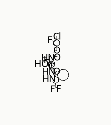 O=C(COc1ccc(Cl)c(F)c1)NC12CCC(NC(=O)C3NCC(C(F)F)CC34CCCCCCCCC4)(CC1)C[C@@H]2O